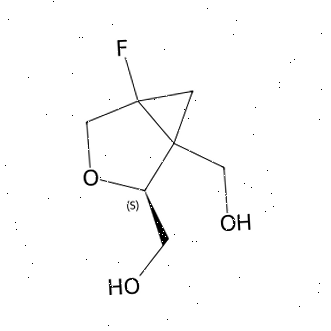 OC[C@H]1OCC2(F)CC12CO